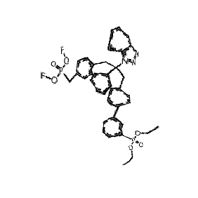 CCOP(=O)(OCC)c1cccc(-c2ccc(CC(Cc3ccc(CP(=O)(OF)OF)cc3)(c3ccccc3)n3nnc4ccccc43)cc2)c1